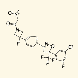 C[S+]([O-])CC(=O)N1CC(F)(c2ccc(C3=NOC(c4cc(F)cc(Cl)c4)(C(F)(F)F)C3)cc2)C1